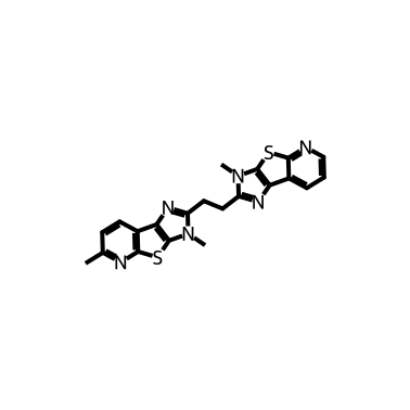 Cc1ccc2c(n1)sc1c2nc(CCc2nc3c4cccnc4sc3n2C)n1C